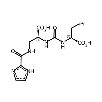 CC(C)C[C@H](NC(=O)N[C@@H](CNC(=O)c1ncc[nH]1)C(=O)O)C(=O)O